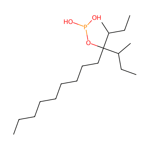 CCCCCCCCCC(OP(O)O)(C(C)CC)C(C)CC